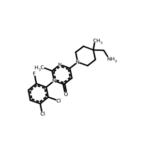 Cc1nc(N2CCC(C)(CN)CC2)cc(=O)n1-c1c(F)ccc(Cl)c1Cl